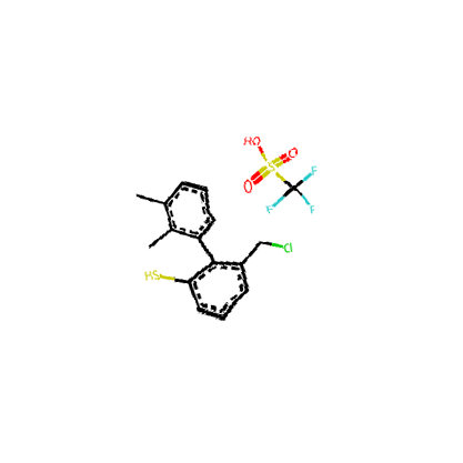 Cc1cccc(-c2c(S)cccc2CCl)c1C.O=S(=O)(O)C(F)(F)F